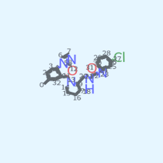 Cc1ccc(-n2ccnc2)c(C(=O)N2CCC[C@@H](C)C2CNc2nc3cc(Cl)ccc3o2)c1